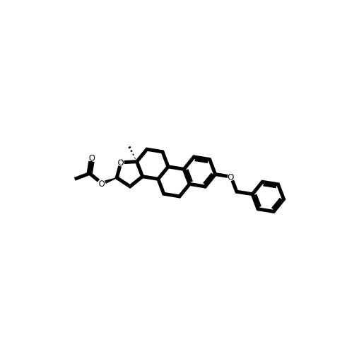 CC(=O)O[C@@H]1CC2C3CCc4cc(OCc5ccccc5)ccc4C3CC[C@]2(C)O1